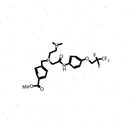 COC(=O)c1ccc(CN(CCN(C)C)CC(=O)Nc2ccc(OCC(F)(F)C(F)(F)F)cc2)cc1